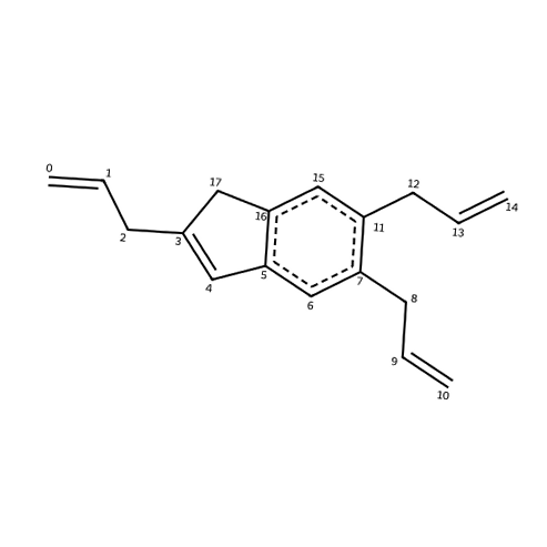 C=CCC1=Cc2cc(CC=C)c(CC=C)cc2C1